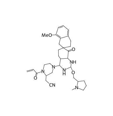 C=CC(=O)N1CCN(C2NC(OCC3CCCN3C)NC3C(=O)C4(CCc5cccc(OC)c5C4)CCC32)CC1CC#N